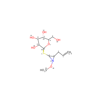 C=CCC1C(S[C@@H]2OC(CO)[C@@H](O)C(O)C2O)N1OS(=O)(=O)O